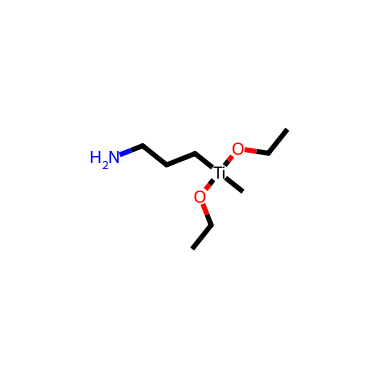 CC[O][Ti]([CH3])([CH2]CCN)[O]CC